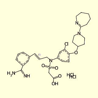 Cl.Cl.N=C(N)c1cccc(/C=C/CN(c2ccc(OC3CCN(C4=NCCCCC4)CC3)c(Cl)c2)S(=O)(=O)CC(=O)O)c1